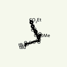 CCOC(=O)C1CCC(C2CCC(C(=O)Oc3ccc(C(=O)Oc4ccc(OC(=O)OCCOCCOCCOC(=O)C(CC(C)(C)C)C(C)(C)C)cc4C(=O)OC)cc3)CC2)CC1